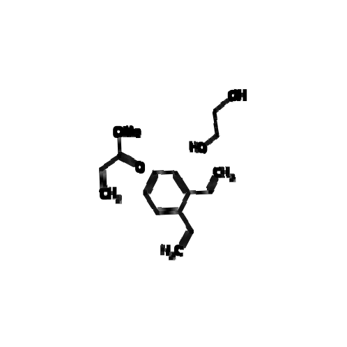 C=CC(=O)OC.C=Cc1ccccc1C=C.OCCO